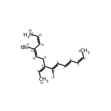 C/C=C\C=CC=C(I)/C(=C\C)C/C=C(\C=C/N)C(C)(C)C